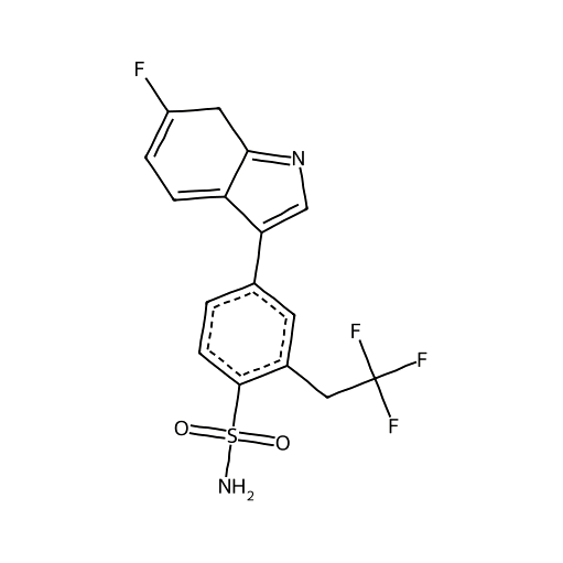 NS(=O)(=O)c1ccc(C2=CN=C3CC(F)=CC=C23)cc1CC(F)(F)F